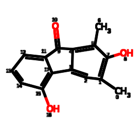 Cc1cc2c(c(C)c1O)C(=O)c1cccc(O)c1-2